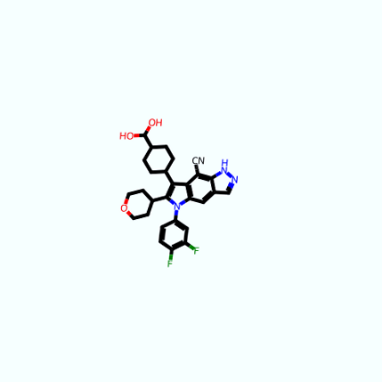 N#Cc1c2[nH]ncc2cc2c1c(C1CCC(C(O)O)CC1)c(C1CCOCC1)n2-c1ccc(F)c(F)c1